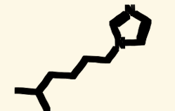 CC(C)CCCCn1ccnc1